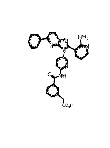 Nc1ncccc1-c1nc2ccc(-c3ccccc3)nc2n1-c1ccc(NC(=O)c2cccc(CC(=O)O)c2)nc1